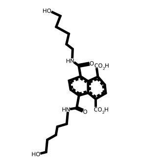 O=C(O)c1ccc(C(=O)O)c2c(C(=O)NCCCCCO)ccc(C(=O)NCCCCCO)c12